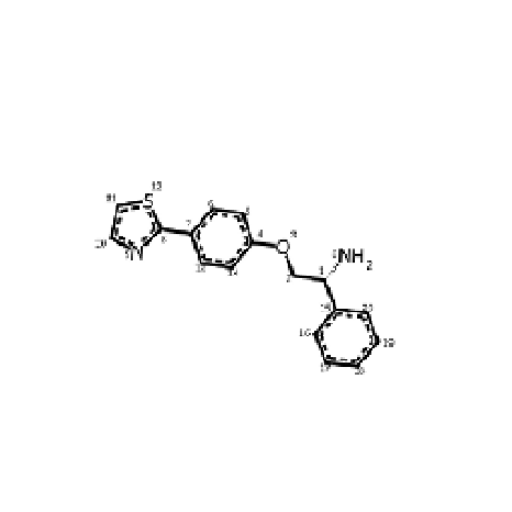 N[C@@H](COc1ccc(-c2nccs2)cc1)c1ccccc1